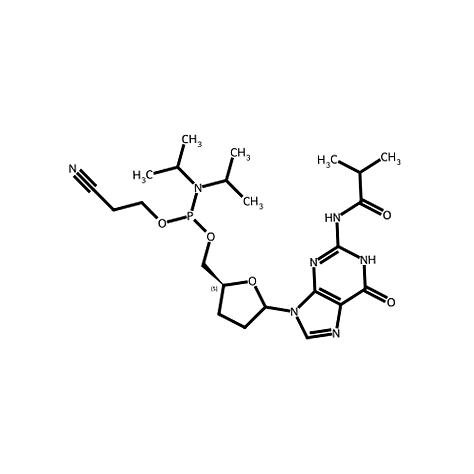 CC(C)C(=O)Nc1nc2c(ncn2C2CC[C@@H](COP(OCCC#N)N(C(C)C)C(C)C)O2)c(=O)[nH]1